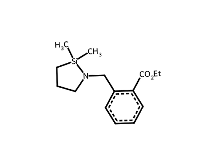 CCOC(=O)c1ccccc1CN1CCC[Si]1(C)C